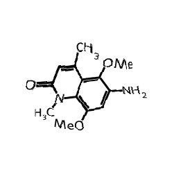 COc1c(N)cc(OC)c2c1c(C)cc(=O)n2C